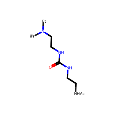 CCN(CCNC(=O)NCCNC(C)=O)C(C)C